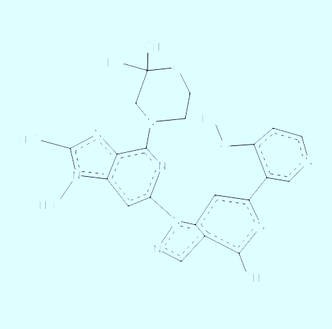 COc1ccncc1-c1cc2c(cnn2-c2cc3c(nc(C)n3C)c(N3CCOC(C)(C)C3)n2)c(C)n1